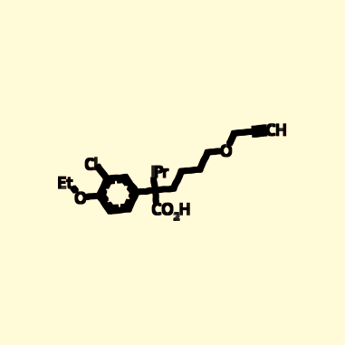 C#CCOCCCCC(C(=O)O)(c1ccc(OCC)c(Cl)c1)C(C)C